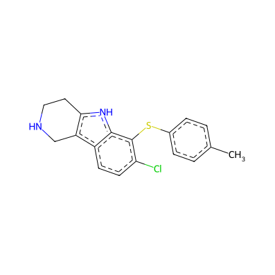 Cc1ccc(Sc2c(Cl)ccc3c4c([nH]c23)CCNC4)cc1